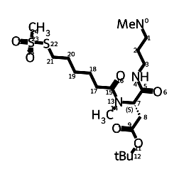 CNCCCNC(=O)[C@H](CC(=O)OC(C)(C)C)N(C)C(=O)CCCCCSS(C)(=O)=O